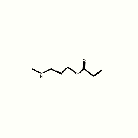 CCC(=O)OCCCNC